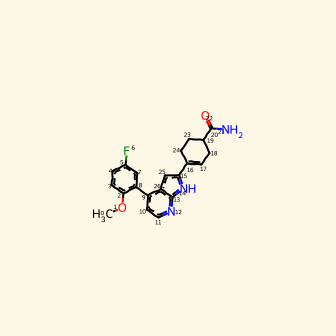 COc1ccc(F)cc1-c1ccnc2[nH]c(C3=CCC(C(N)=O)CC3)cc12